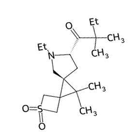 CCN1C[C@@]2(C[C@H]1C(=O)C(C)(C)CC)C(C)(C)C21CS(=O)(=O)C1